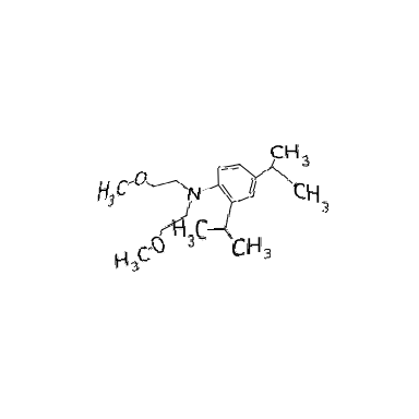 COCCN(CCOC)c1ccc(C(C)C)cc1C(C)C